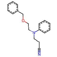 N#CCCN(CCOCc1ccccc1)c1ccccc1